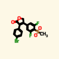 CS(=O)(=O)c1c(F)cc(C2=C(c3ccc(Br)cc3)C(=O)OC2)cc1F